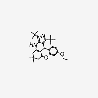 CCOc1ccc(C2C3=C(CC(C)(C)CC3=O)Nc3c2c(C(C)(C)C)nn3C(C)(C)C)cc1